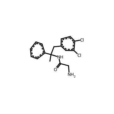 CC(Cc1ccc(Cl)c(Cl)c1)(NC(=O)CN)c1ccccc1